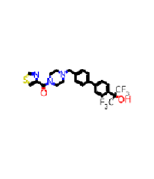 O=C(c1cscn1)N1CCN(Cc2ccc(-c3ccc(C(O)(C(F)(F)F)C(F)(F)F)cc3)cc2)CC1